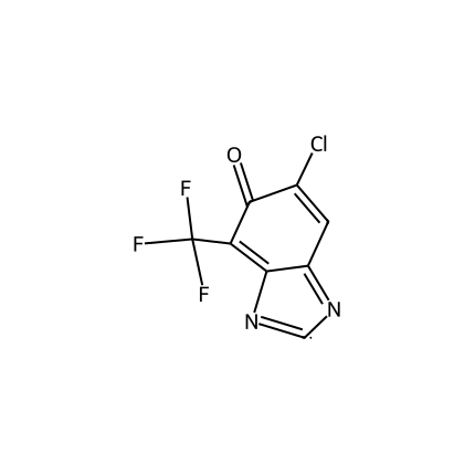 O=C1C(Cl)=CC2=N[C]=NC2=C1C(F)(F)F